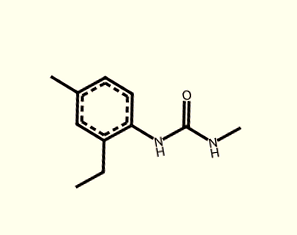 CCc1cc(C)ccc1NC(=O)NC